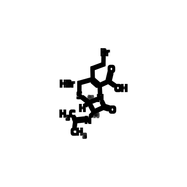 Br.CC(C)=N[C@@H]1C(=O)N2C(C(=O)O)=C(CCBr)CS[C@@H]12